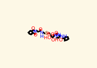 O=C(CCN1C(=O)c2ccccc2C1=O)NCCSOC[C@H]1O[C@@H](n2ccc(NC(=O)c3ccccc3)nc2=O)[C@@H](O)C1O